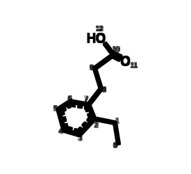 CCc1ccccc1CCC(=O)O